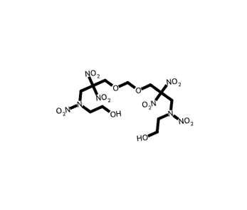 O=[N+]([O-])N(CCO)CC(COCOCC(CN(CCO)[N+](=O)[O-])([N+](=O)[O-])[N+](=O)[O-])([N+](=O)[O-])[N+](=O)[O-]